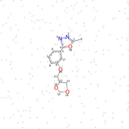 Cc1nnc(-c2cccc(OCC3COCO3)c2)o1